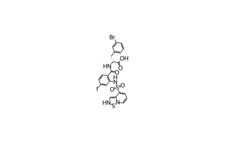 O=C(N[C@H](Cc1cccc(Br)c1)C(=O)O)c1ccc(I)cc1NS(=O)(=O)C1=CC=CN2SNC=C12